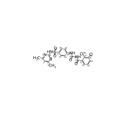 Cc1cc(C)nc(NS(=O)(=O)c2ccc(NC(=O)NC(=O)c3cccc(Cl)c3Cl)cc2)n1